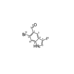 O=Cc1cc2c(I)c[nH]c2cc1Br